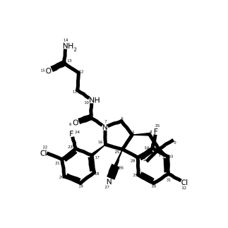 CC(C)(C)C[C@@H]1CN(C(=O)NCCC(N)=O)[C@H](c2cccc(Cl)c2F)[C@@]1(C#N)c1ccc(Cl)cc1F